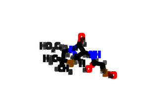 CC1(C)S[C@@H]2C(NC(=O)C=S=O)C(=O)N2[C@H]1C(=O)O